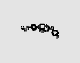 CC1[C@@H]2CC[C@@H](Oc3ccc(F)cc3)CN2CCN1c1ccc([N+](=O)[O-])cc1